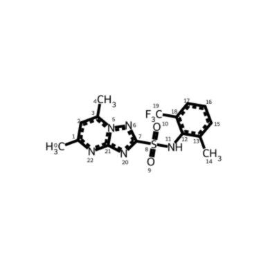 Cc1cc(C)n2nc(S(=O)(=O)Nc3c(C)cccc3C(F)(F)F)nc2n1